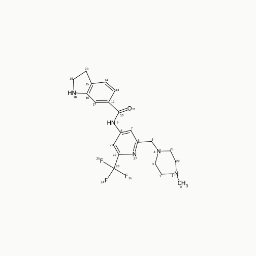 CN1CCN(Cc2cc(NC(=O)c3ccc4c(c3)NCC4)cc(C(F)(F)F)n2)CC1